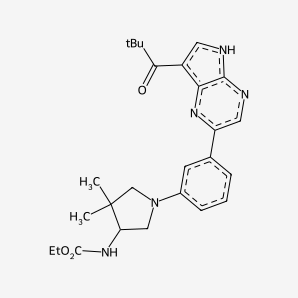 CCOC(=O)NC1CN(c2cccc(-c3cnc4[nH]cc(C(=O)C(C)(C)C)c4n3)c2)CC1(C)C